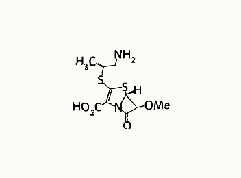 COC1C(=O)N2C(C(=O)O)=C(SC(C)CN)S[C@H]12